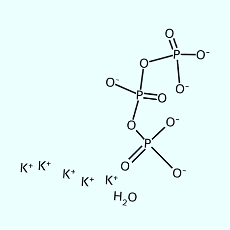 O.O=P([O-])([O-])OP(=O)([O-])OP(=O)([O-])[O-].[K+].[K+].[K+].[K+].[K+]